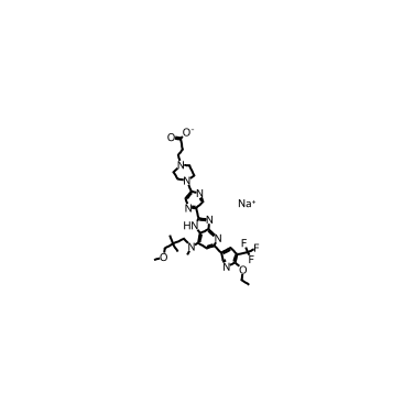 CCOc1ncc(-c2cc(N(C)CC(C)(C)COC)c3[nH]c(-c4cnc(N5CCN(CCC(=O)[O-])CC5)cn4)nc3n2)cc1C(F)(F)F.[Na+]